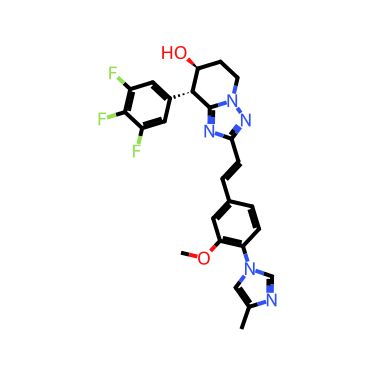 COc1cc(C=Cc2nc3n(n2)CC[C@H](O)[C@H]3c2cc(F)c(F)c(F)c2)ccc1-n1cnc(C)c1